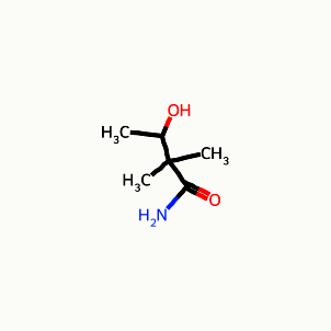 CC(O)C(C)(C)C(N)=O